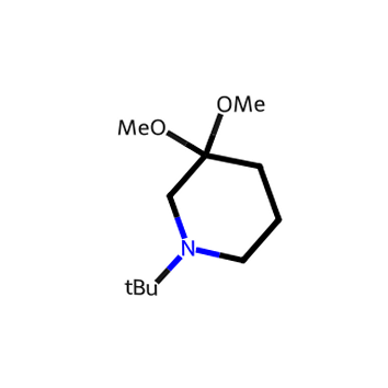 COC1(OC)CCCN(C(C)(C)C)C1